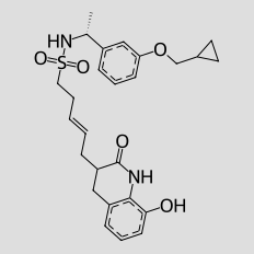 C[C@@H](NS(=O)(=O)CC/C=C/CC1Cc2cccc(O)c2NC1=O)c1cccc(OCC2CC2)c1